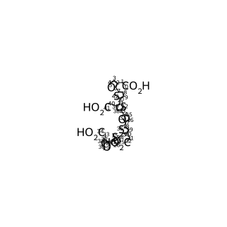 O=C(O)Cc1ccoc1-c1ccc(-c2sc(-c3ccc(-c4cc(CC(=O)O)c(-c5ccc(-c6occc6CC(=O)O)s5)s4)o3)cc2CC(=O)O)s1